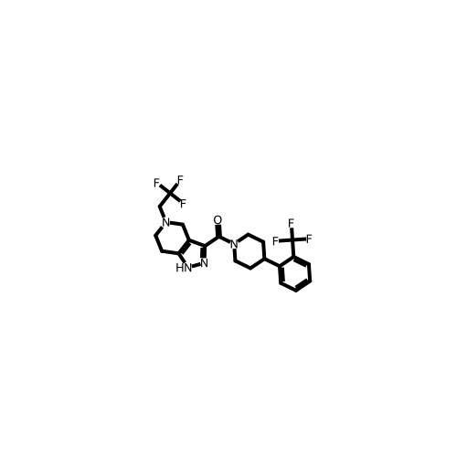 O=C(c1n[nH]c2c1CN(CC(F)(F)F)CC2)N1CCC(c2ccccc2C(F)(F)F)CC1